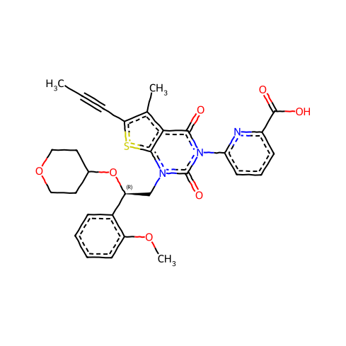 CC#Cc1sc2c(c1C)c(=O)n(-c1cccc(C(=O)O)n1)c(=O)n2C[C@H](OC1CCOCC1)c1ccccc1OC